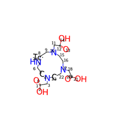 O=C(O)CN1CCNCCN(CC(=O)O)CCN(CC(=O)O)CC1.[Tc]